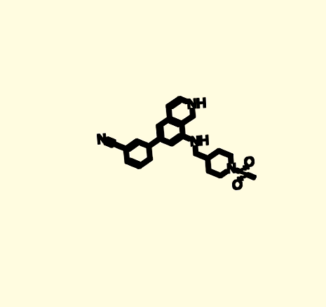 CS(=O)(=O)N1CCC(CNc2cc(C3C=C(C#N)C=CC3)cc3c2CNC=C3)CC1